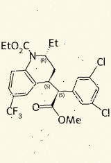 CCOC(=O)N1c2ccc(C(F)(F)F)cc2[C@H]([C@H](C(=O)OC)c2cc(Cl)cc(Cl)c2)C[C@H]1CC